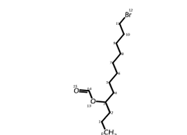 CCCC(CCCCCCCCBr)OC=O